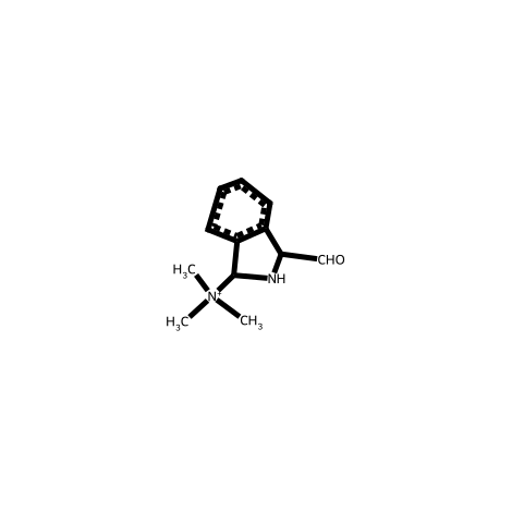 C[N+](C)(C)C1NC(C=O)c2ccccc21